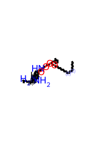 CCCCC/C=C\C/C=C\CCCCCCCCOCC(CC1CCCC1C)OCCOCCNC(=O)C[C@H]1CC[C@@]2(C)C(=CCC3(N)[C@@H]2CC[C@]2(C)[C@@H]([C@H](C)CCCC(C)C)CC[C@@]32N)C1